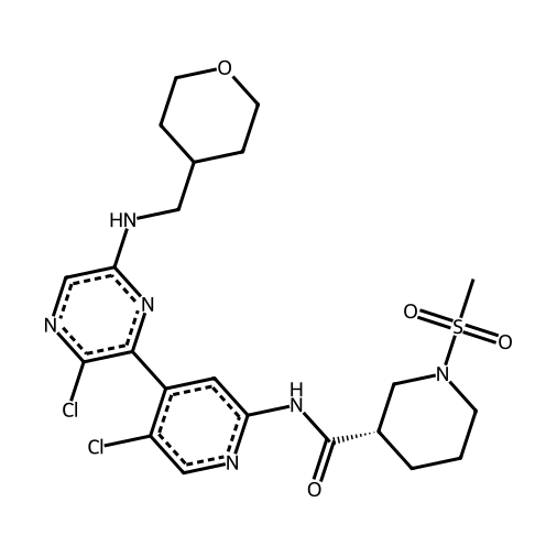 CS(=O)(=O)N1CCC[C@H](C(=O)Nc2cc(-c3nc(NCC4CCOCC4)cnc3Cl)c(Cl)cn2)C1